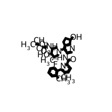 Cc1ccc(C(=O)Nc2cnc3c(c2N2C[C@H](C)[C@@H](O)[C@H](NC(=O)OC(C)(C)C)C2)CCC3O)nc1-c1c(C)cccc1F